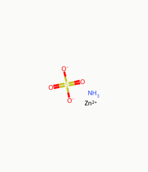 N.O=S(=O)([O-])[O-].[Zn+2]